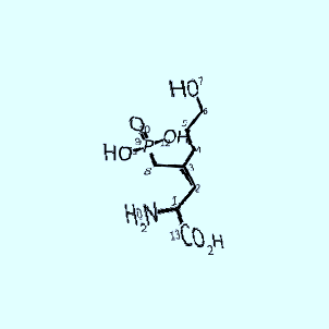 NC(C=C(CCCO)CP(=O)(O)O)C(=O)O